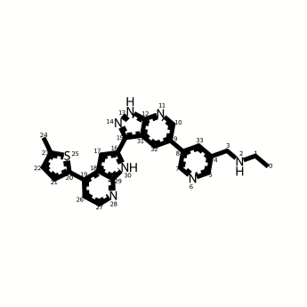 CCNCc1cncc(-c2cnc3[nH]nc(-c4cc5c(-c6ccc(C)s6)ccnc5[nH]4)c3c2)c1